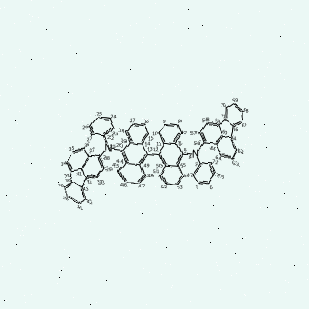 c1ccc(N(c2c3ccccc3c(-c3c4ccccc4c(N(c4ccccc4)c4ccc5c6c(cccc46)-c4ccccc4-5)c4ccccc34)c3ccccc23)c2ccc3c4c(cccc24)-c2ccccc2-3)cc1